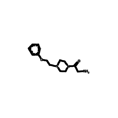 NCC(=O)N1CCN(CCOc2[c]cccc2)CC1